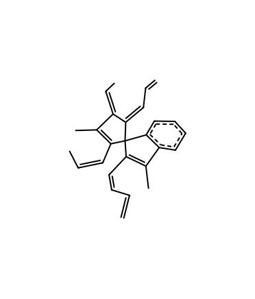 C=C/C=C\C1=C(C)c2ccccc2C12C(/C=C\C)=C(C)C(=C/C)/C2=C\C=C